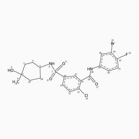 CC1(O)CCC(NS(=O)(=O)c2ccc(Cl)c(C(=O)Nc3ccc(F)c(Br)c3)c2)CC1